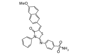 COc1ccc2cc(C=C3S/C(=N\c4ccc(S(N)(=O)=O)cc4)N(c4ccccc4)C3=O)ccc2c1